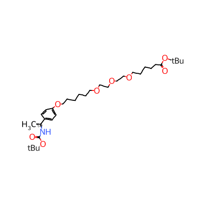 C[C@H](NC(=O)OC(C)(C)C)c1ccc(OCCCCCCOCCOCCOCCCCCC(=O)OC(C)(C)C)cc1